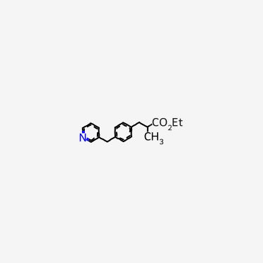 CCOC(=O)C(C)Cc1ccc(Cc2cccnc2)cc1